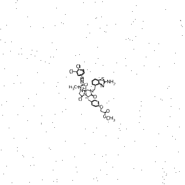 COC(=O)COc1ccc(C[C@H]2C(=O)N(Cc3cccc4sc(N)nc34)C[C@H]3N2C(=O)CN3N(C)C(=O)NCc2ccc(Cl)c(Cl)c2)cc1